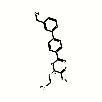 NC(=O)[C@H](CCC(=O)O)NC(=O)c1ccc(-c2cccc(CO)c2)cc1